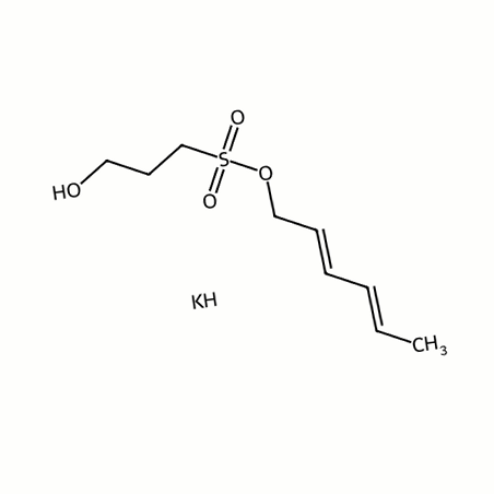 CC=CC=CCOS(=O)(=O)CCCO.[KH]